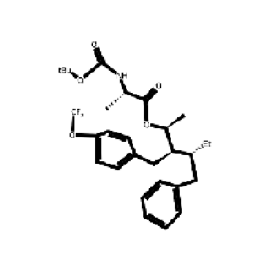 CC[C@H](Cc1ccccc1)[C@@H](Cc1ccc(OC(F)(F)F)cc1)[C@H](C)OC(=O)[C@H](C)NC(=O)OC(C)(C)C